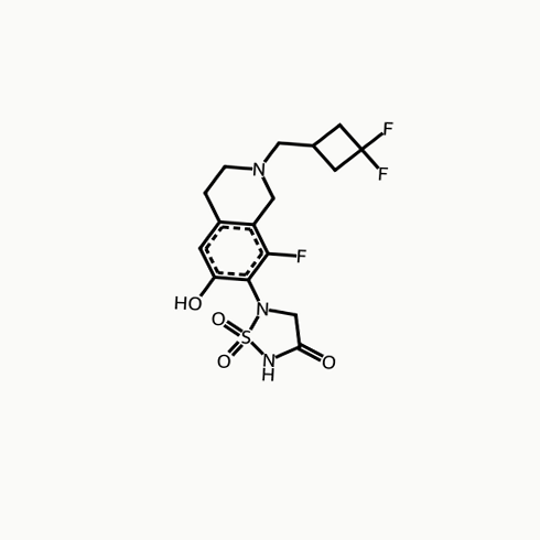 O=C1CN(c2c(O)cc3c(c2F)CN(CC2CC(F)(F)C2)CC3)S(=O)(=O)N1